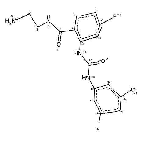 NCCNC(=O)c1ccc(F)cc1NC(=O)Nc1cc(F)cc(Cl)c1